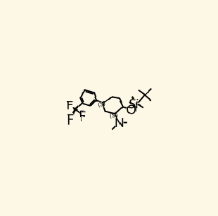 CN(C)[C@H]1C[C@@H](c2cccc(C(F)(F)F)c2)CCC1O[Si](C)(C)C(C)(C)C